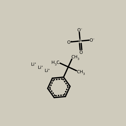 CC(C)(C)c1ccccc1.O=P([O-])([O-])[O-].[Li+].[Li+].[Li+]